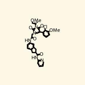 COC[C@@H](C)n1c(=O)c(-c2cccc(OC)c2Cl)cn(CC(=O)Nc2ccc3c(c2)CC(C(=O)Nc2ccccn2)C3)c1=O